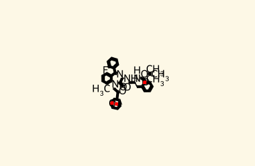 Cc1cccc2c1N(CC(=O)N1CC3CCC(CC3)C1)C(=O)[C@@H](NC(=O)[C@H](Cc1ccccc1)NC(=O)OC(C)(C)C)N=C2c1ccccc1F